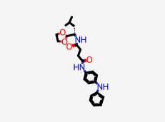 CC(C)C[C@H](NC(=O)CCC(=O)Nc1ccc(Nc2ccccc2)cc1)C1OCCO1